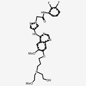 COCCN(CCO)CCCOc1cc2ncnc(Nc3cnn(CC(=O)Nc4cccc(F)c4F)c3)c2cc1OC